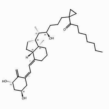 C=C1/C(=C\C=C2/CCC[C@]3(C)[C@@H]([C@H](C)[C@H](O)CCCC4(C(=O)CCCCCCC)CC4)CC[C@@H]23)C[C@@H](O)C[C@@H]1O